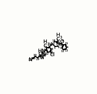 Cc1c(CN2CCN(C(=O)c3ccccc3)[C@@H](C)C2)cc(Cl)cc1Nc1nnc(CCC#N)o1